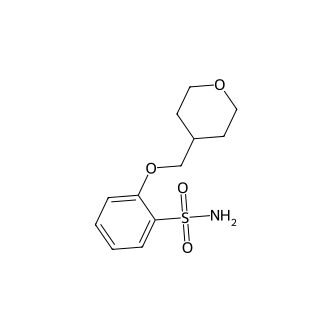 NS(=O)(=O)c1ccccc1OCC1CCOCC1